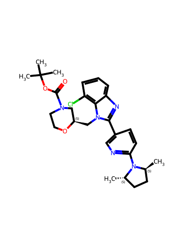 C[C@H]1CC[C@H](C)N1c1ccc(-c2nc3cccc(Cl)c3n2C[C@@H]2CN(C(=O)OC(C)(C)C)CCO2)cn1